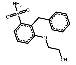 CCCOc1cccc(S(N)(=O)=O)c1Cc1ccccc1